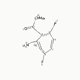 COC(=O)c1c(F)ccc(F)c1N